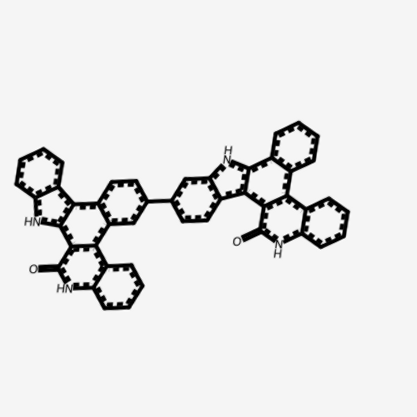 O=c1[nH]c2ccccc2c2c3cc(-c4ccc5c(c4)[nH]c4c6ccccc6c6c7ccccc7[nH]c(=O)c6c54)ccc3c3c4ccccc4[nH]c3c12